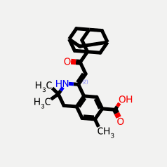 Cc1cc2c(cc1C(=O)O)/C(=C/C(=O)C13CC4CC(CC(C4)C1)C3)NC(C)(C)C2